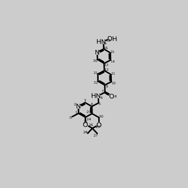 Cc1ncc(CNC(=O)c2ccc(-c3ccc(NO)nc3)cc2)c2c1OC(C)(C)OC2